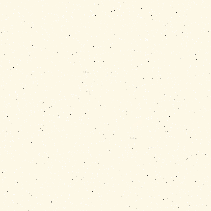 CCCC(C)(C)C(C)c1cc(C(=O)OC)cc(F)c1-c1cc(OC)ccc1F